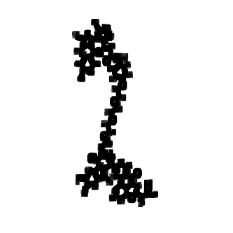 CN[C@@H](C)C(=O)CC(C(=O)N1CCN(C(=O)c2c(C(=O)NCCOCCOCCOCCOc3ccc(NC(=O)C[C@@H]4N=C(c5ccc(C)cc5)c5c(sc(C)c5C)-n5c(C)nnc54)cc3)c3cc(F)c(F)cc3n2C)CC1)C1CCCCC1